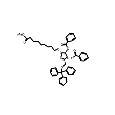 COC(=O)CCCCCCCCO[C@H]1O[C@H](COC(c2ccccc2)(c2ccccc2)c2ccccc2)[C@@H](OC(=O)c2ccccc2)[C@@H]1OC(=O)c1ccccc1